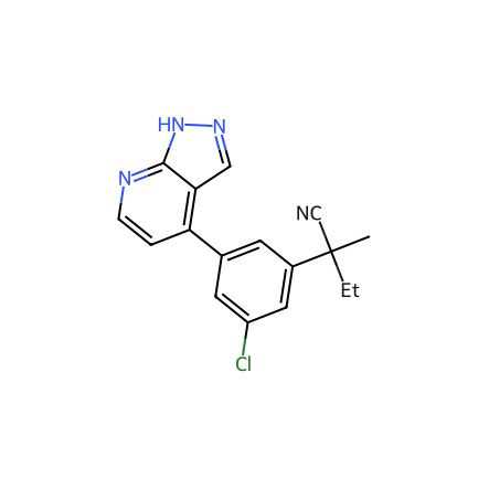 CCC(C)(C#N)c1cc(Cl)cc(-c2ccnc3[nH]ncc23)c1